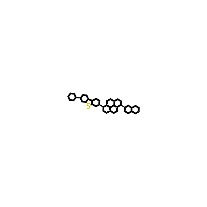 c1ccc(-c2ccc3c(c2)sc2cc(-c4ccc5ccc6c(-c7ccc8ccccc8c7)ccc7ccc4c5c76)ccc23)cc1